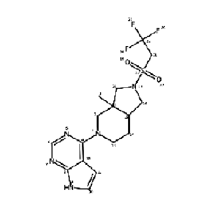 CC12CN(c3ncnc4[nH]ccc34)CCC1CN(S(=O)(=O)CC(F)(F)F)C2